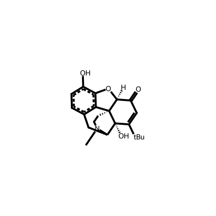 CN1CC[C@]23c4c5ccc(O)c4O[C@H]2C(=O)C=C(C(C)(C)C)[C@@]3(O)C1C5